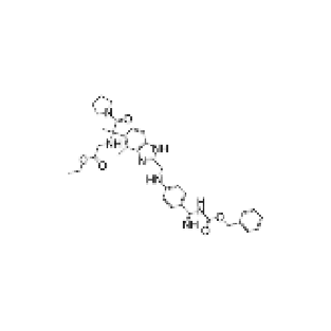 CCOC(=O)CNC(C)(C(=O)N1CCCC1)c1ccc2[nH]c(CNc3ccc(C(=N)NC(=O)OCc4ccccc4)cc3)nc2c1C